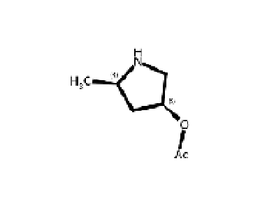 CC(=O)O[C@@H]1CN[C@H](C)C1